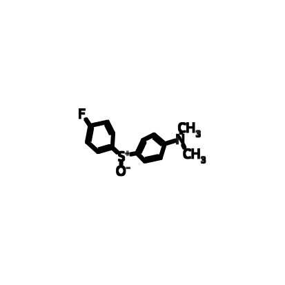 CN(C)c1ccc([S+]([O-])c2ccc(F)cc2)cc1